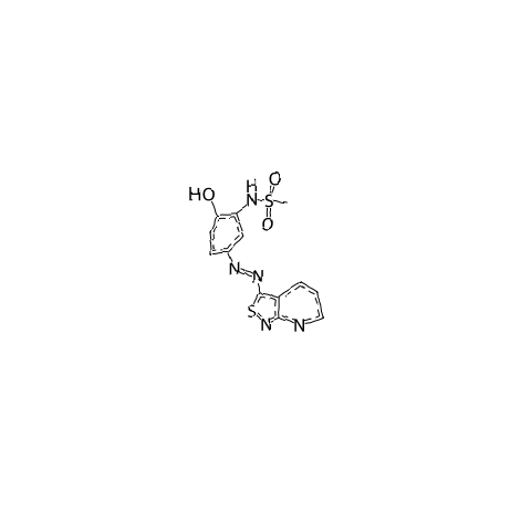 CS(=O)(=O)Nc1cc(/N=N/c2snc3ncccc23)ccc1O